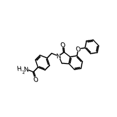 NC(=O)c1ccc(CN2Cc3cccc(Oc4ccccc4)c3C2=O)cc1